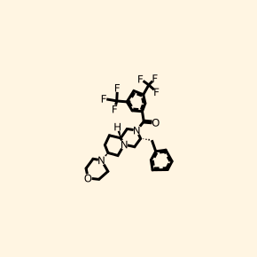 O=C(c1cc(C(F)(F)F)cc(C(F)(F)F)c1)N1C[C@H]2CC[C@@H](N3CCOCC3)CN2C[C@H]1Cc1ccccc1